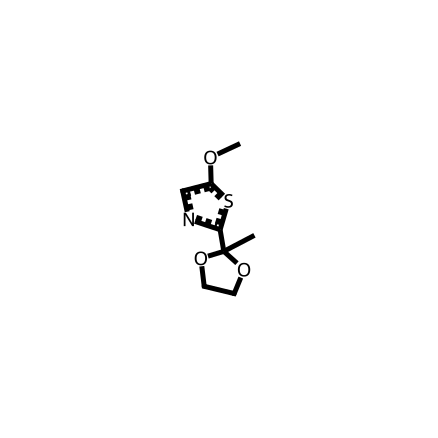 COc1cnc(C2(C)OCCO2)s1